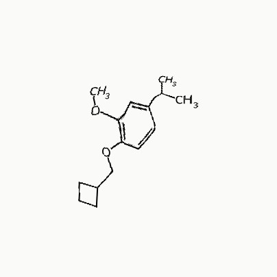 COc1cc(C(C)C)ccc1OCC1CCC1